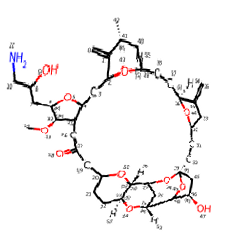 C=C1C2CC3O[C@H](CC(O)CN)[C@H](OC)C3CC(=O)CC3CC[C@@H]4O[C@@H]5CC(O[C@@]6(CCC7CC(=C)[C@H](CC[C@@H](C[C@H]1C)O2)O7)C[C@@H](O)C5O6)[C@H]4O3